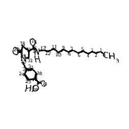 CCCCCCCCCCCCCCNC(=O)C1CC(=O)N(Cc2ccc(C(=O)O)cc2)C1